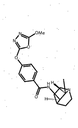 COc1nnc(Oc2ccc(C(=O)N[C@@H]3C4CCN(CC4)[C@H]3C)cc2)o1